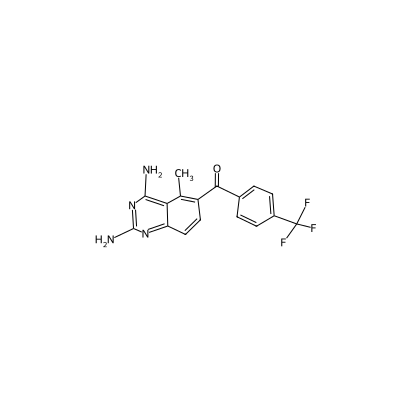 Cc1c(C(=O)c2ccc(C(F)(F)F)cc2)ccc2nc(N)nc(N)c12